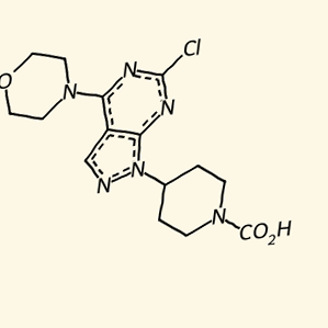 O=C(O)N1CCC(n2ncc3c(N4CCOCC4)nc(Cl)nc32)CC1